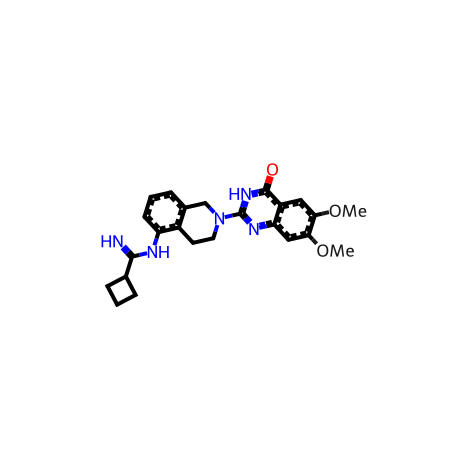 COc1cc2nc(N3CCc4c(cccc4NC(=N)C4CCC4)C3)[nH]c(=O)c2cc1OC